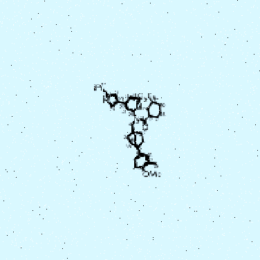 COc1ccc(C23CCC(CN(C(=O)[C@@H]4CCC[C@H](C(=O)O)C4)c4cc(-c5cnn(C(C)C)c5)ccn4)(CC2)CC3)cc1C